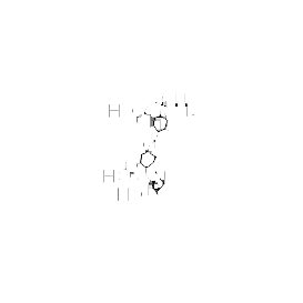 Cn1ccnc1[C@@H](CC(=O)O)c1ccc(OCc2ccc3c(c2)C(C)(C)CCC3(C)C)cc1